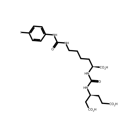 O=C(O)CC[C@@H](CC(=O)O)NC(=O)N[C@@H](CCCCNC(=O)Nc1ccc(I)cc1)C(=O)O